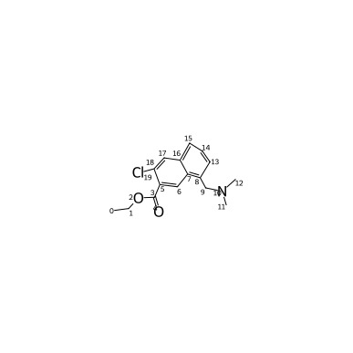 CCOC(=O)c1cc2c(CN(C)C)cccc2cc1Cl